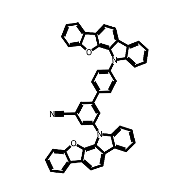 N#Cc1cc(-c2ccc(-n3c4ccccc4c4ccc5c6ccccc6oc5c43)cc2)cc(-n2c3ccccc3c3ccc4c5ccccc5oc4c32)c1